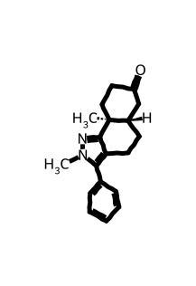 Cn1nc2c(c1-c1ccccc1)CC[C@H]1CC(=O)CC[C@]21C